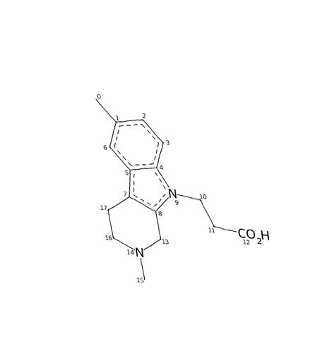 Cc1ccc2c(c1)c1c(n2CCC(=O)O)CN(C)CC1